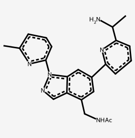 CC(=O)NCc1cc(-c2cccc(C(C)N)n2)cc2c1cnn2-c1cccc(C)n1